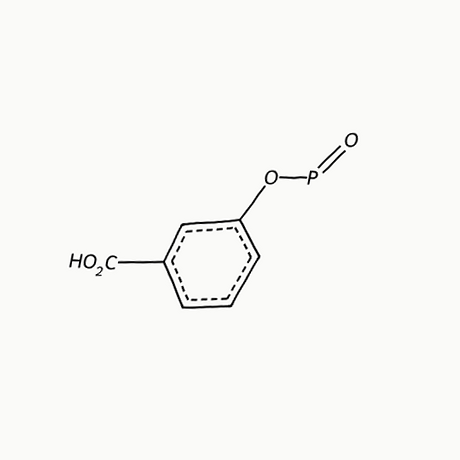 O=POc1cccc(C(=O)O)c1